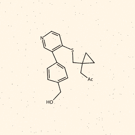 CC(=O)CC1(CSc2ccncc2-c2ccc(CO)cc2)CC1